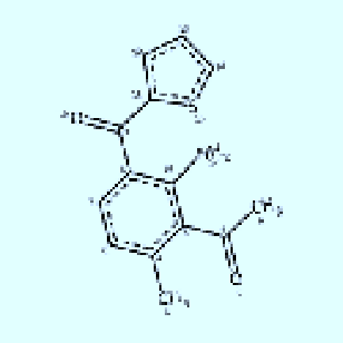 CC(=O)c1c(C)ccc(C(=O)c2cccs2)c1N